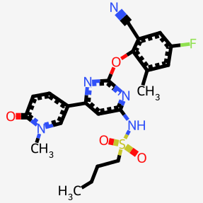 CCCCS(=O)(=O)Nc1cc(-c2ccc(=O)n(C)c2)nc(Oc2c(C)cc(F)cc2C#N)n1